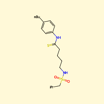 CCCCc1ccc(NC(=S)CCCCNS(=O)(=O)CC(C)C)cc1